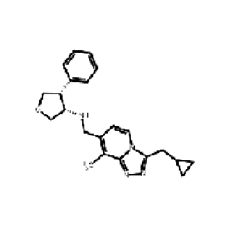 FC(F)(F)c1c(CN[C@@H]2COC[C@@H]2c2ccccc2)ccn2c(CC3CC3)nnc12